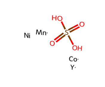 O=S(=O)(O)O.[Co].[Mn].[Ni].[Y]